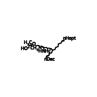 CCCCCCC/C=C/CCCCCC(CC/C=C/CCCCCCCCCC)COC/C(N)=C/NCCOC(C)(C)CCO